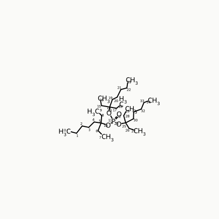 CCCCCC(CC)(CC)OP(=O)(OC(CC)(CC)CCCCC)OC(CC)(CC)CCCCC